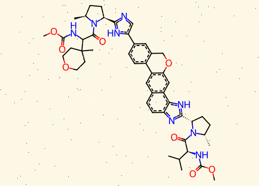 COC(=O)NC(C(=O)N1[C@@H](C)CC[C@H]1c1ncc(-c2ccc3c(c2)COc2cc4c(ccc5nc([C@@H]6CC[C@H](C)N6C(=O)[C@@H](NC(=O)OC)C(C)C)[nH]c54)cc2-3)[nH]1)C1(C)CCOCC1